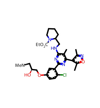 CCOC(=O)N1CCCCC1CNc1nc(-c2cc(OC[C@@H](O)CNC)ccc2Cl)nc(-c2c(C)noc2C)c1C